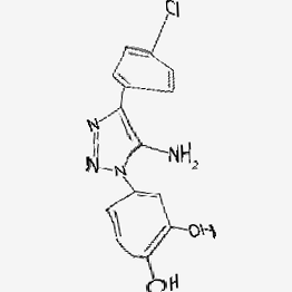 Nc1c(-c2ccc(Cl)cc2)nnn1-c1ccc(O)c(O)c1